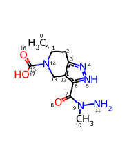 C[C@@H]1Cc2n[nH]c(C(=O)N(C)N)c2CN1C(=O)O